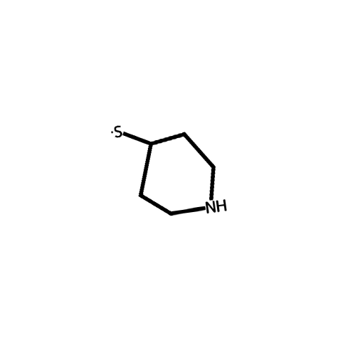 [S]C1CCNCC1